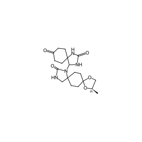 C[C@@H]1COC2(CCC3(CC2)CNC(=O)N3C2NC(=O)NC23CCC(=O)CC3)O1